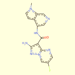 Cn1ccc2c(NC(=O)c3c(N)nn4cc(F)cnc34)cncc21